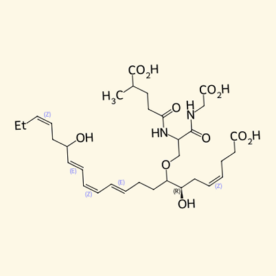 CC/C=C\CC(O)/C=C/C=C\C=C\CCC(OCC(NC(=O)CCC(C)C(=O)O)C(=O)NCC(=O)O)[C@H](O)C/C=C\CCC(=O)O